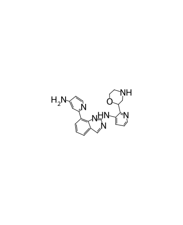 Nc1ccnc(-c2cccc3cnc(Nc4cccnc4C4CNCCO4)nc23)c1